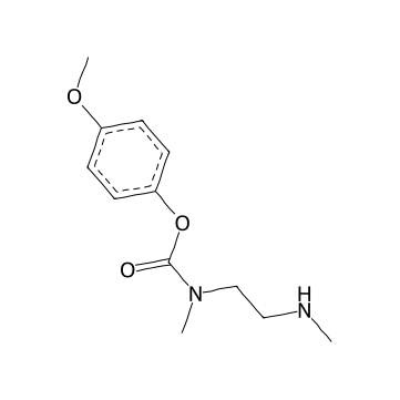 CNCCN(C)C(=O)Oc1ccc(OC)cc1